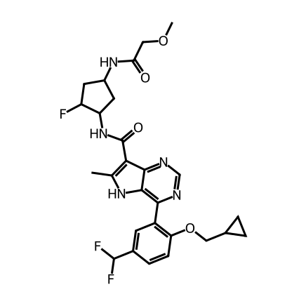 COCC(=O)NC1CC(F)C(NC(=O)c2c(C)[nH]c3c(-c4cc(C(F)F)ccc4OCC4CC4)ncnc23)C1